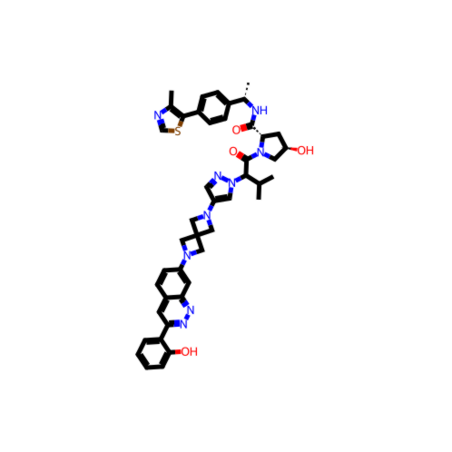 Cc1ncsc1-c1ccc([C@H](C)NC(=O)[C@@H]2C[C@@H](O)CN2C(=O)C(C(C)C)n2cc(N3CC4(CN(c5ccc6cc(-c7ccccc7O)nnc6c5)C4)C3)cn2)cc1